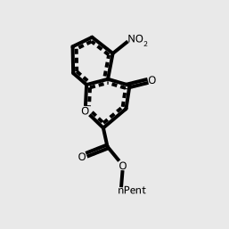 CCCCCOC(=O)c1cc(=O)c2c([N+](=O)[O-])cccc2o1